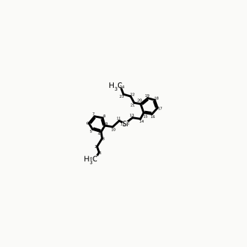 CCCCc1ccccc1CC[Si]CCc1ccccc1CCCC